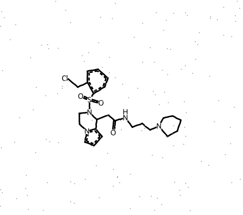 O=C(CC1c2cccn2CCN1S(=O)(=O)c1ccccc1CCl)NCCCN1CCCCC1